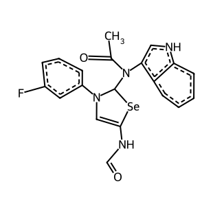 CC(=O)N(c1c[nH]c2ccccc12)C1[Se]C(NC=O)=CN1c1cccc(F)c1